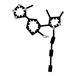 C#CC#CC#Cn1nc(C)c(C)c1-c1cc(-c2nnnn2C)ccc1O